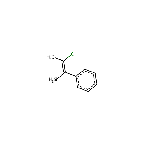 CC(Cl)=C([SiH3])c1ccccc1